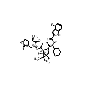 C=CC(=O)[C@H](C[C@@H]1CCNC1=O)NC(=O)[C@@H]1[C@@H]2[C@H](CN1C(=O)[C@@H](NC(=O)c1cc3c(F)cccc3[nH]1)C1CCCCC1)C2(C)C